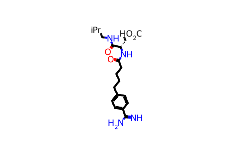 CC(C)CNC(=O)[C@H](CC(=O)O)NC(=O)CCCCc1ccc(C(=N)N)cc1